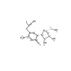 CCC=C(C)Cc1cn([C@@H]2O[C@H](CO)C(O)C2O)c(=O)nc1N